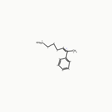 CCCCCCCCCC/C=C(/C)c1ccccc1